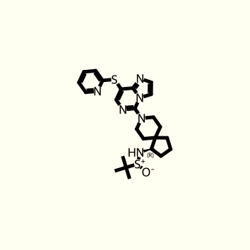 CC(C)(C)[S+]([O-])N[C@@H]1CCCC12CCN(c1ncc(Sc3ccccn3)c3nccn13)CC2